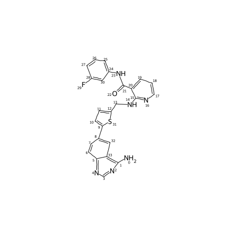 Nc1ncnc2ccc(-c3ccc(CNc4ncccc4C(=O)Nc4cccc(F)c4)s3)cc12